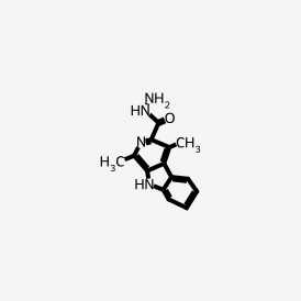 Cc1nc(C(=O)NN)c(C)c2c1[nH]c1ccccc12